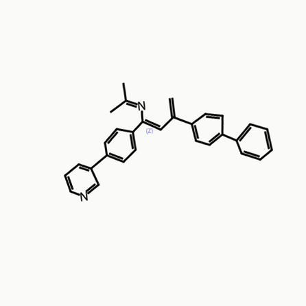 C=C(/C=C(\N=C(C)C)c1ccc(-c2cccnc2)cc1)c1ccc(-c2ccccc2)cc1